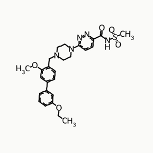 CCOc1cccc(-c2ccc(CN3CCN(c4ccc(C(=O)NS(C)(=O)=O)nn4)CC3)c(OC)c2)c1